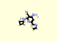 N#Cc1c(N)cc(-c2nccs2)nc1NC1CCC1